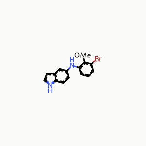 COc1c(Br)cccc1Nc1ccc2[nH]ccc2c1